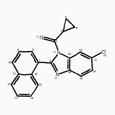 O=C(C1CC1)n1c(-c2cccc3ccccc23)nc2ccc(Cl)cc21